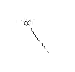 CCCCCCCCCCCCCCCCCCOC(=O)c1ccc(N)c(N)c1C(C)(C)C